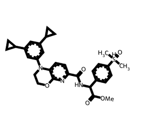 COC(=O)C(NC(=O)c1ccc2c(n1)OCCN2c1cc(C2CC2)cc(C2CC2)c1)c1ccc([SH](C)(C)=O)cc1